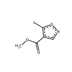 COC(=O)c1cnsc1I